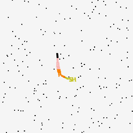 CB=PS